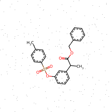 Cc1ccc(S(=O)(=O)Oc2cccc(C(C)C(=O)OCc3ccccc3)c2)cc1